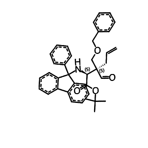 C=CC[C@@](C=O)(COCc1ccccc1)[C@H](NC1(c2ccccc2)c2ccccc2-c2ccccc21)C(=O)OC(C)(C)C